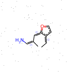 C/C=c1/cco/c1=C/C(C)=C\N